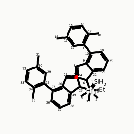 C[CH2][Hf]([CH3])([CH3])([CH3])(=[SiH2])([CH]1C=Cc2c(-c3cc(C)ccc3C)cccc21)[CH]1C=Cc2c(-c3cc(C)ccc3C)cccc21